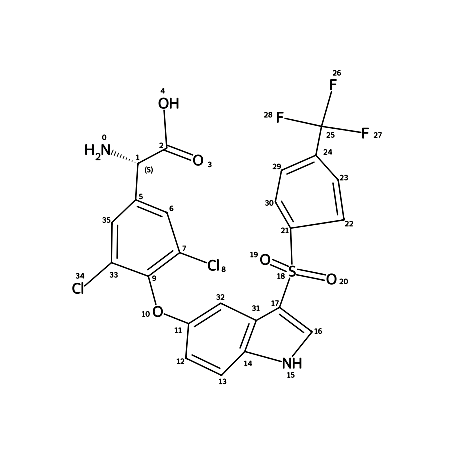 N[C@H](C(=O)O)c1cc(Cl)c(Oc2ccc3[nH]cc(S(=O)(=O)c4ccc(C(F)(F)F)cc4)c3c2)c(Cl)c1